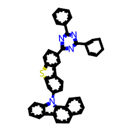 C1=CC(c2nc(-c3ccccc3)nc(-c3ccc4sc5cc(-n6c7ccccc7c7ccc8ccccc8c76)ccc5c4c3)n2)=CCC1